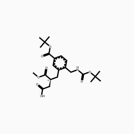 COC(=O)[C@H](CC(=O)O)Cc1cc(C(=O)OC(C)(C)C)ccc1CNC(=O)OC(C)(C)C